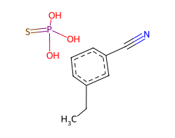 CCc1cccc(C#N)c1.OP(O)(O)=S